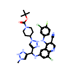 CN1C=C(C(Nc2cc(Cl)c3ncc(C#N)c(Nc4ccc(F)c(Cl)c4)c3c2)C2=CN(C3CCN(C(=O)OC(C)(C)C)CC3)NN2)NN1